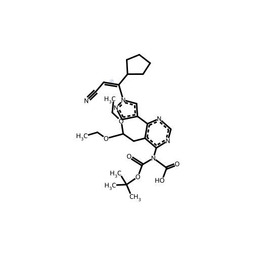 CCOC(Cc1c(-c2cnn(/C(=C\C#N)C3CCCC3)c2)ncnc1N(C(=O)O)C(=O)OC(C)(C)C)OCC